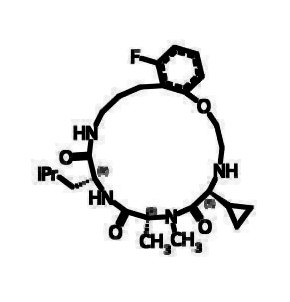 CC(C)C[C@H]1NC(=O)[C@@H](C)N(C)C(=O)[C@H](C2CC2)NCCOc2cccc(F)c2CCCNC1=O